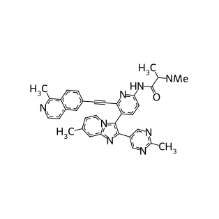 CNC(C)C(=O)Nc1ccc(-c2c(-c3cnc(C)nc3)nc3cc(C)ccn23)c(C#Cc2ccc3c(C)nccc3c2)n1